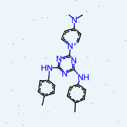 Cc1ccc(Nc2nc(Nc3ccc(C)cc3)nc(-[n+]3ccc(N(C)C)cc3)n2)cc1